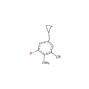 COc1c(Br)cc(C2CC2)cc1C#N